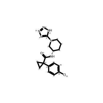 O=C(N[C@H]1CCCN(c2nnn[nH]2)C1)C1(c2ccc(Cl)cc2)CC1